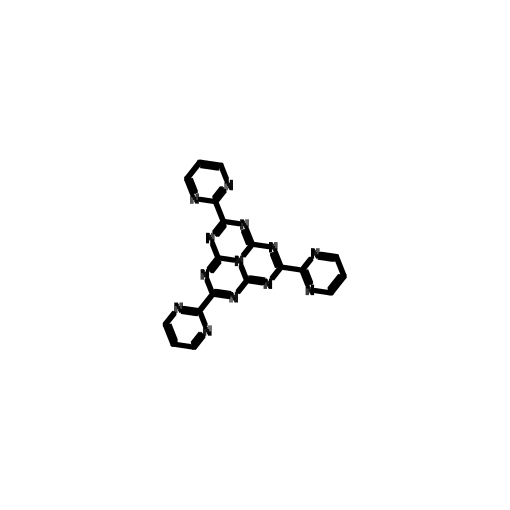 c1cnc(C2=NC3=NC(c4ncccn4)=NC4=NC(c5ncccn5)=NC(=N2)N34)nc1